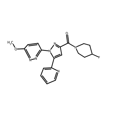 COc1ccc(-n2nc(C(=O)N3CCC(F)CC3)cc2-c2ccccn2)nn1